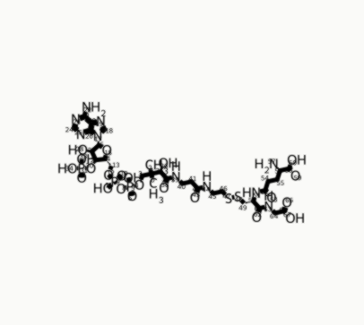 CC(C)(COP(=O)(O)OP(=O)(O)OC[C@H]1O[C@@H](n2cnc3c(N)ncnc32)[C@H](O)[C@@H]1OP(=O)(O)O)[C@@H](O)C(=O)NCCC(=O)NCCSSC[C@H](NC(=O)CC[C@H](N)C(=O)O)C(=O)NCC(=O)O